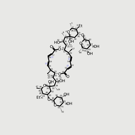 CC[C@@H]1[C@@H](C)O[C@@](O)([C@@H](C)[C@H](O)[C@H](C)[C@H]2OC(=O)/C=C/C=C/[C@H](C)[C@@H]([C@@H](C)[C@@H](O)[C@H](C)[C@@]3(O)C[C@@H](O[C@H]4C[C@H](O)[C@H](O)[C@H](C)O4)[C@H](CC)[C@@H](C)O3)OC(=O)/C=C/C=C/[C@@H]2C)C[C@H]1O[C@H]1C[C@H](O)[C@H](O)[C@H](C)O1